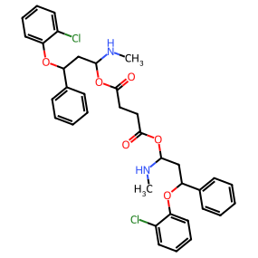 CNC(CC(Oc1ccccc1Cl)c1ccccc1)OC(=O)CCC(=O)OC(CC(Oc1ccccc1Cl)c1ccccc1)NC